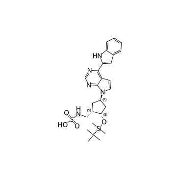 CC(C)(C)[Si](C)(C)O[C@H]1C[C@H](n2ccc3c(-c4cc5ccccc5[nH]4)ncnc32)C[C@H]1CNS(=O)(=O)O